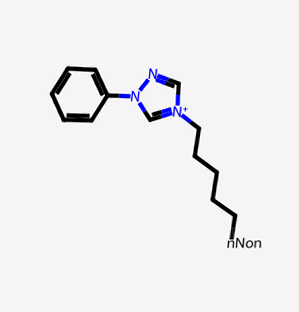 CCCCCCCCCCCCCC[n+]1cnn(-c2ccccc2)c1